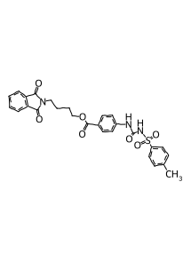 Cc1ccc(S(=O)(=O)NC(=O)Nc2ccc(C(=O)OCCCCN3C(=O)c4ccccc4C3=O)cc2)cc1